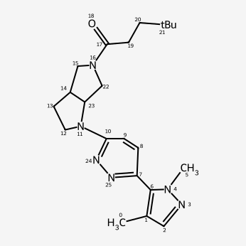 Cc1cnn(C)c1-c1ccc(N2CCC3CN(C(=O)CCC(C)(C)C)CC32)nn1